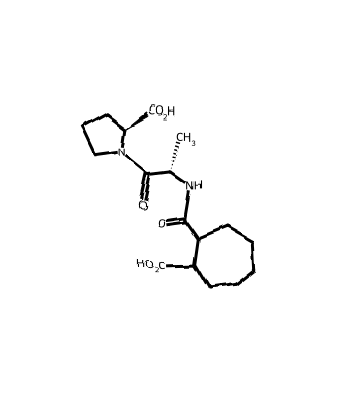 C[C@H](NC(=O)C1CCCCCC1C(=O)O)C(=O)N1CCC[C@H]1C(=O)O